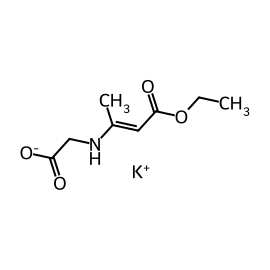 CCOC(=O)/C=C(\C)NCC(=O)[O-].[K+]